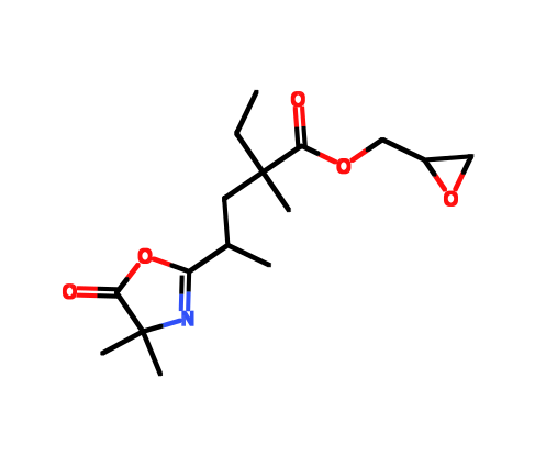 CCC(C)(CC(C)C1=NC(C)(C)C(=O)O1)C(=O)OCC1CO1